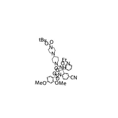 CCOc1ncccc1C1(NC(=O)N2CCC(N3CCN(C(=O)OC(C)(C)C)CC3)CC2)C(=O)N(S(=O)(=O)c2ccc(OC)cc2OC)c2ccc(C#N)cc21